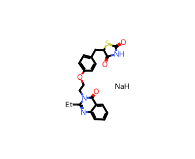 CCc1nc2ccccc2c(=O)n1CCOc1ccc(CC2SC(=O)NC2=O)cc1.[NaH]